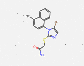 N#Cc1ccc(-n2c(Br)cnc2SCC(N)=O)c2ccccc12